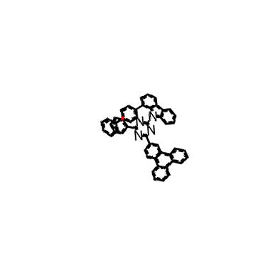 c1ccc(-c2ccc(-c3cccc4c5ccccc5n(-c5nc(-c6ccccc6)nc(-c6ccc7c8ccccc8c8ccccc8c7c6)n5)c34)cc2)cc1